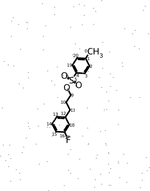 Cc1ccc(S(=O)(=O)OCCCc2cccc(F)c2)cc1